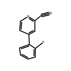 N#Cc1cc(-c2ccccc2F)ccn1